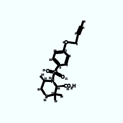 CC#CCOc1ccc(S(=O)(=O)N2[C@H](C)CSC(C)(C)[C@@H]2C(=O)O)cc1